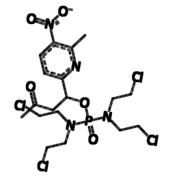 CC(=O)CC(OP(=O)(N(CCCl)CCCl)N(CCCl)CCCl)c1ccc([N+](=O)[O-])c(C)n1